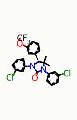 CC1(C)[C@H](c2cccc(OC(F)(F)F)c2)N(c2cccc(Cl)c2)C(=O)N1c1cccc(Cl)c1